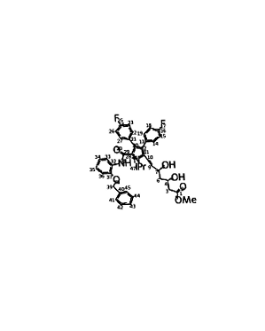 COC(=O)C[C@H](O)C[C@H](O)/C=C/c1c(-c2ccc(F)cc2)c(-c2ccc(F)cc2)c(C(=O)Nc2ccccc2OCc2ccccc2)n1C(C)C